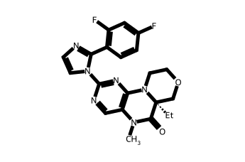 CC[C@@]12COCCN1c1nc(-n3ccnc3-c3ccc(F)cc3F)ncc1N(C)C2=O